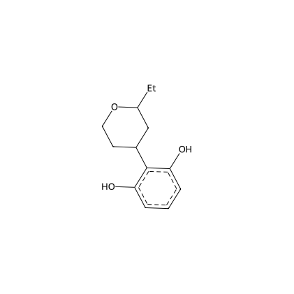 CCC1CC(c2c(O)cccc2O)CCO1